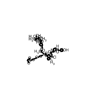 Cc1cccc2c(OC(=O)N(CCOCCOCCOCCN3C(=O)C=CC3=O)CCN(C)C(=O)OCc3ccc(NC(=O)[C@H](C)NC(=O)[C@H](C(C)C)N(C)C)cc3)cc3c(c12)[C@H](CCl)CN3C(=O)c1cn2cc(NC(=O)c3ccc(O)cc3)ccc2n1